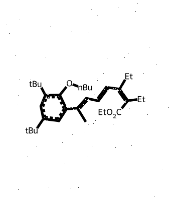 CCCCOc1c(C(C)=CC=CC(CC)=C(CC)C(=O)OCC)cc(C(C)(C)C)cc1C(C)(C)C